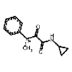 C[C@@H](C(=O)C(=O)NC1CC1)c1ccccc1